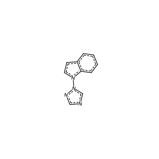 c1ccc2c(c1)ccn2-n1cncn1